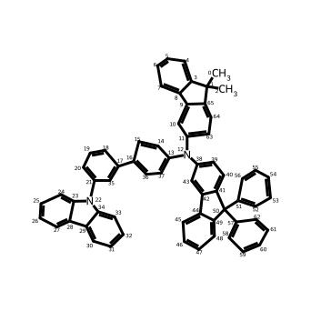 CC1(C)c2ccccc2-c2cc(N(c3ccc(-c4cccc(-n5c6ccccc6c6ccccc65)c4)cc3)c3ccc4c(c3)-c3ccccc3C4(c3ccccc3)c3ccccc3)ccc21